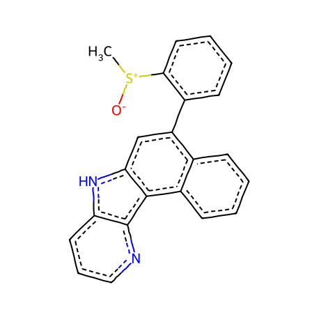 C[S+]([O-])c1ccccc1-c1cc2[nH]c3cccnc3c2c2ccccc12